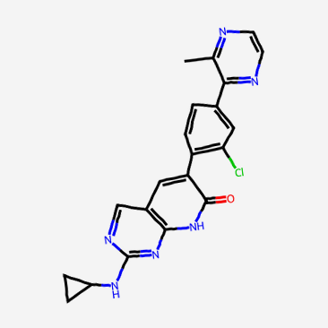 Cc1nccnc1-c1ccc(-c2cc3cnc(NC4CC4)nc3[nH]c2=O)c(Cl)c1